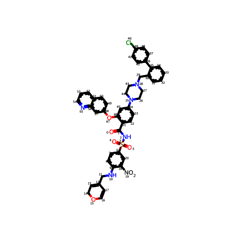 O=C(NS(=O)(=O)c1ccc(NCC2=CCOC=C2)c([N+](=O)[O-])c1)c1ccc(N2CCN(Cc3ccccc3-c3ccc(Cl)cc3)CC2)cc1Oc1ccc2cccnc2c1